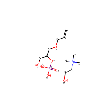 C=CCOCC(CO)OP(=O)(O)O.C[N+](C)(C)CCO